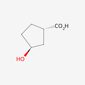 O=C(O)[C@H]1CC[C@H](O)C1